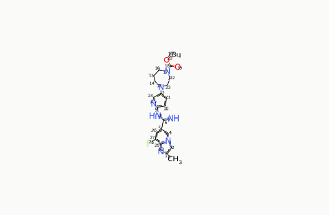 Cc1cn2cc(C(=N)Nc3ccc(N4CCCN(C(=O)OC(C)(C)C)CC4)cn3)cc(F)c2n1